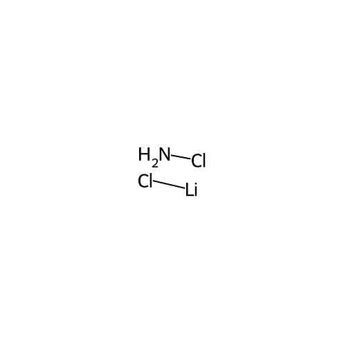 NCl.[Li][Cl]